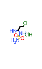 Cl.N=C(CCCl)NS(N)(=O)=O